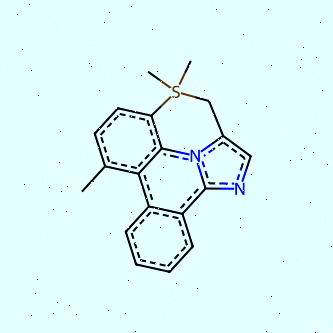 Cc1ccc2c3c1c1ccccc1c1ncc(n13)CS2(C)C